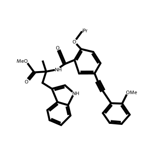 COC(=O)C(C)(Cc1c[nH]c2ccccc12)NC(=O)c1cc(C#Cc2ccccc2OC)ccc1OC(C)C